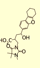 CN1C(=O)N(CC(CC(O)c2ccc3c4c(oc3c2)CCCC4)C(=O)O)C(=O)C1(C)C